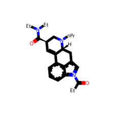 CCCN1C[C@H](C(=O)N(CC)CC)C=C2c3cccc4c3c(cn4C(=O)CC)C[C@H]21